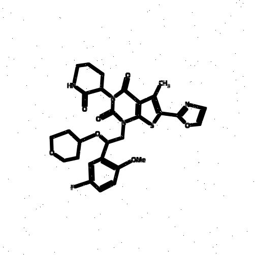 COc1ccc(F)cc1C(Cn1c(=O)n(C2CCCNC2=O)c(=O)c2c(C)c(-c3ncco3)sc21)OC1CCOCC1